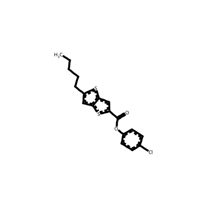 CCCCCc1cc2sc(C(=O)Oc3ccc(Cl)cc3)cc2s1